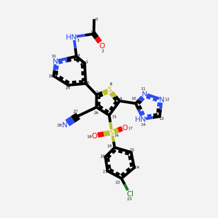 CC(=O)Nc1cc(-c2sc(-c3nnc[nH]3)c(S(=O)(=O)c3ccc(Cl)cc3)c2C#N)ccn1